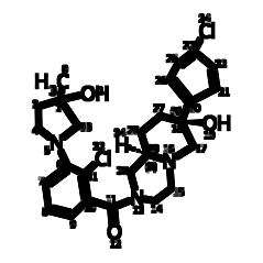 CC1(O)CCN(c2cccc(C(=O)N3CCN4C[C@@](O)(c5ccc(Cl)cc5)CC[C@@H]4C3)c2Cl)C1